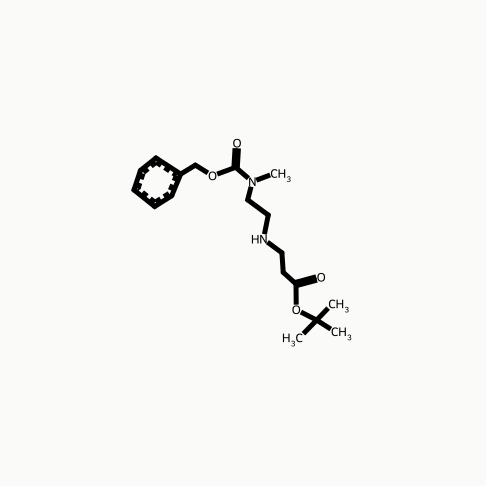 CN(CCNCCC(=O)OC(C)(C)C)C(=O)OCc1ccccc1